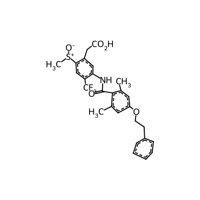 Cc1cc(OCCc2ccccc2)cc(C)c1C(=O)Nc1cc(CC(=O)O)c([S+](C)[O-])cc1C(F)(F)F